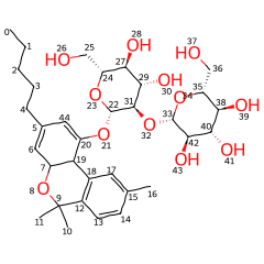 CCCCCC1=CC2OC(C)(C)c3ccc(C)cc3C2C(O[C@@H]2O[C@H](CO)[C@@H](O)[C@H](O)[C@H]2O[C@@H]2O[C@H](CO)[C@@H](O)[C@H](O)[C@H]2O)=C1